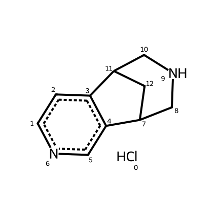 Cl.c1cc2c(cn1)C1CNCC2C1